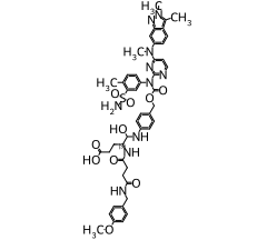 COc1ccc(CNC(=O)CCC(=O)N[C@@H](CCC(=O)O)C(O)Nc2ccc(COC(=O)N(c3ccc(C)c(S(N)(=O)=O)c3)c3nccc(N(C)c4ccc5c(C)n(C)nc5c4)n3)cc2)cc1